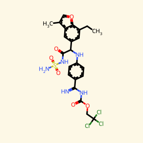 CCc1cc(C(Nc2ccc(C(=N)NC(=O)OCC(Cl)(Cl)Cl)cc2)C(=O)NS(N)(=O)=O)cc2c(C)coc12